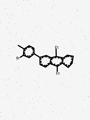 CCc1c2ccccc2c(CC)c2cc(-c3ccc(C)c(Br)c3)ccc12